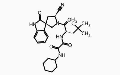 CC(C)(C)C[C@H](NC(=O)C(=O)NC1CCCCC1)C(=O)N1C[C@]2(C[C@H]1C#N)C(=O)Nc1ccccc12